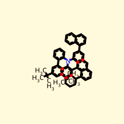 CC(C)(C)c1cc(-c2ccccc2N(c2cccc(-c3cccc4ccccc34)c2)c2ccccc2-c2cccc3cccc(C4CCCCC4)c23)cc(C(C)(C)C)c1